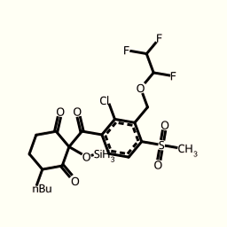 CCCCC1CCC(=O)C(O[SiH3])(C(=O)c2ccc(S(C)(=O)=O)c(COC(F)C(F)F)c2Cl)C1=O